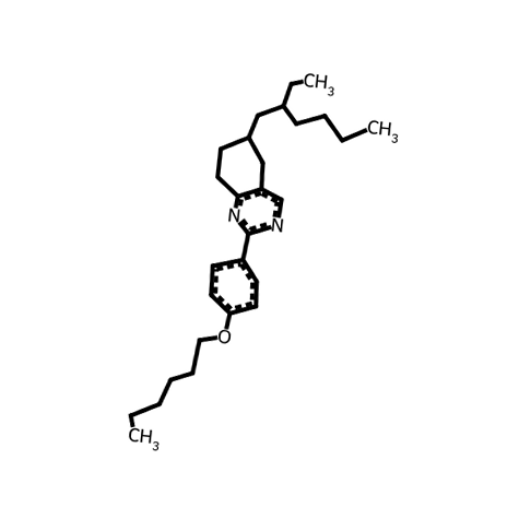 CCCCCCOc1ccc(-c2ncc3c(n2)CCC(CC(CC)CCCC)C3)cc1